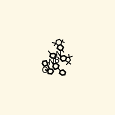 Cc1cc2c3c(c1)N(c1cccc4oc5ccccc5c14)c1ccc(-c4ccccc4)cc1B3c1cc3c(cc1N2c1cc2c(cc1C)C(C)(C)CCC2(C)C)C(C)(C)CC3(C)C